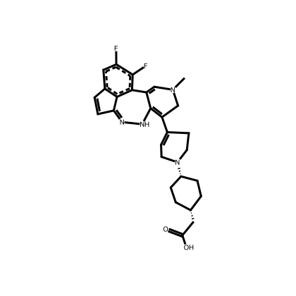 CN1C=C2C(=C(C3=CCN([C@H]4CC[C@@H](CC(=O)O)CC4)CC3)C1)NN=C1C=Cc3cc(F)c(F)c2c31